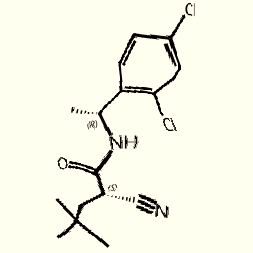 C[C@@H](NC(=O)[C@H](C#N)C(C)(C)C)c1ccc(Cl)cc1Cl